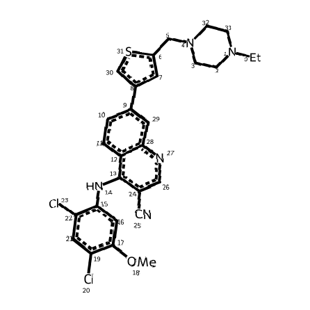 CCN1CCN(Cc2cc(-c3ccc4c(Nc5cc(OC)c(Cl)cc5Cl)c(C#N)cnc4c3)cs2)CC1